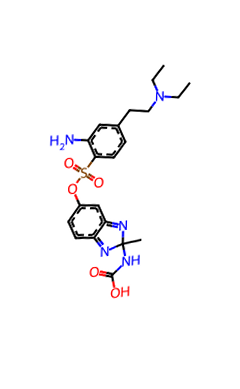 CCN(CC)CCc1ccc(S(=O)(=O)Oc2ccc3c(c2)=NC(C)(NC(=O)O)N=3)c(N)c1